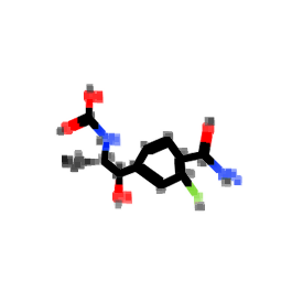 C[C@H](NC(=O)O)[C@H](O)c1ccc(C(N)=O)c(F)c1